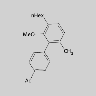 CCCCCCc1ccc(C)c(-c2ccc(C(C)=O)cc2)c1OC